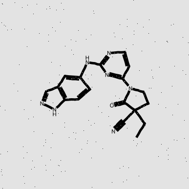 CCC1(C#N)CCN(c2ccnc(Nc3ccc4[nH]ncc4c3)n2)C1=O